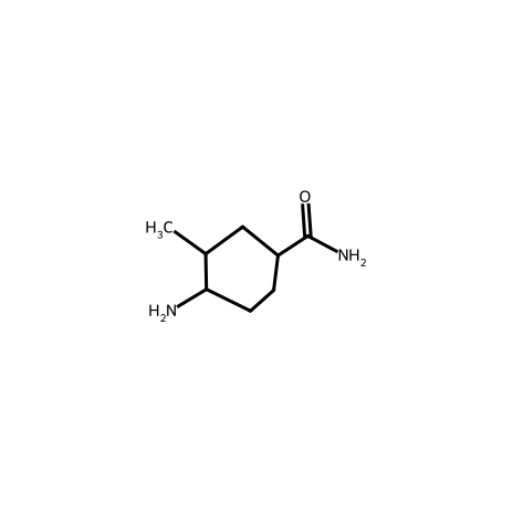 CC1CC(C(N)=O)CCC1N